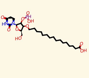 O=C(O)CCCCCCCCCCCCCCCOC1C(O[PH](=O)O)[C@H](n2ccc(=O)[nH]c2=O)O[C@@H]1CO